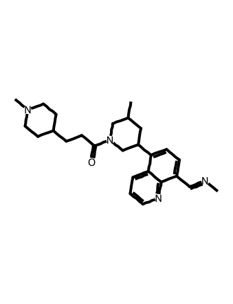 C/N=C/c1ccc(C2CC(C)CN(C(=O)CCC3CCN(C)CC3)C2)c2cccnc12